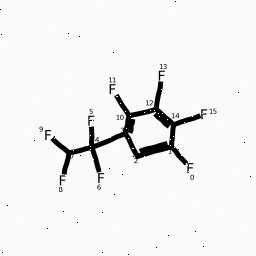 Fc1[c]c(C(F)(F)C(F)F)c(F)c(F)c1F